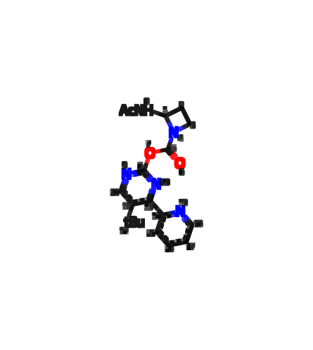 CC(=O)NC1CCN1C(=O)Oc1ncc(C(C)(C)C)c(-c2ccccn2)n1